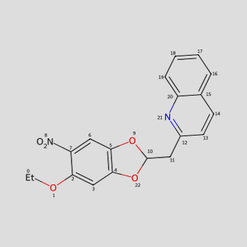 CCOc1cc2c(cc1[N+](=O)[O-])OC(Cc1ccc3ccccc3n1)O2